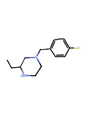 CCC1CN(Cc2ccc(F)cc2)CCN1